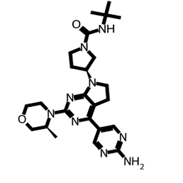 C[C@H]1COCCN1c1nc(-c2cnc(N)nc2)c2c(n1)N([C@H]1CCN(C(=O)NC(C)(C)C)C1)CC2